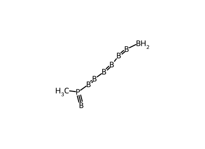 B#P(C)B=BB=BB=BB